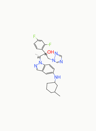 CC1CCCC(Nc2ccc3c(cnn3[C@H](C)[C@](O)(Cn3cncn3)c3ccc(F)cc3F)c2)C1